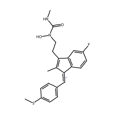 CNC(=O)N(O)CCC1=C(C)/C(=C\c2ccc(SC)cc2)c2ccc(F)cc21